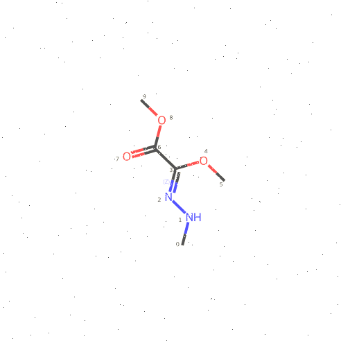 CN/N=C(\OC)C(=O)OC